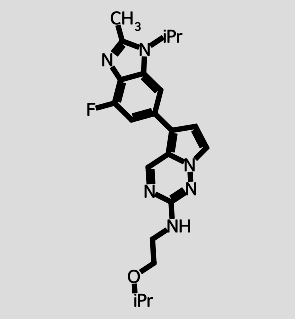 Cc1nc2c(F)cc(-c3ccn4nc(NCCOC(C)C)ncc34)cc2n1C(C)C